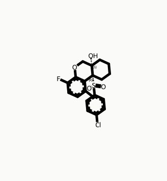 O=S(=O)(c1ccc(Cl)cc1)[C@@]12CCCC[C@]1(O)COc1c(F)ccc(F)c12